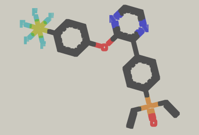 C=CP(=O)(C=C)c1ccc(-c2nccnc2Oc2ccc(S(F)(F)(F)(F)F)cc2)cc1